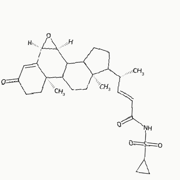 C[C@H](/C=C/C(=O)NS(=O)(=O)C1CC1)C1CCC2C3C(CC[C@@]21C)[C@@]1(C)CCC(=O)C=C1[C@H]1O[C@@H]31